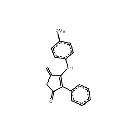 COc1ccc(NC2=C(c3ccccc3)C(=O)[N]C2=O)cc1